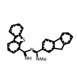 CN/C(=N\C(=N)c1cccc2c1sc1ccccc12)c1ccc2c(c1)Cc1ccccc1-2